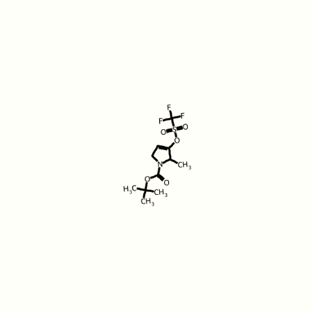 CC1C(OS(=O)(=O)C(F)(F)F)=CCN1C(=O)OC(C)(C)C